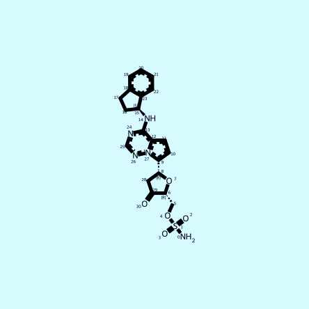 NS(=O)(=O)OC[C@H]1O[C@@H](c2ccc3c(N[C@H]4CCc5ccccc54)ncnn23)CC1=O